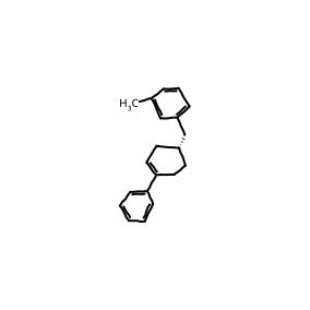 Cc1cccc(C[C@H]2CC=C(c3ccccc3)CC2)c1